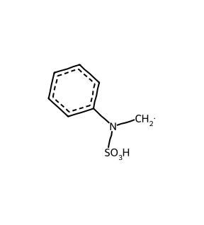 [CH2]N(c1ccccc1)S(=O)(=O)O